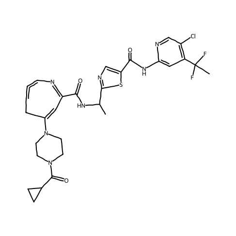 CC(NC(=O)C1=N/C=C=CC/C(N2CCN(C(=O)C3CC3)CC2)=C\1)c1ncc(C(=O)Nc2cc(C(C)(F)F)c(Cl)cn2)s1